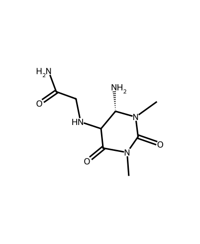 CN1C(=O)C(NCC(N)=O)[C@H](N)N(C)C1=O